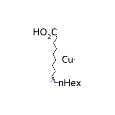 CCCCCC/C=C\CCCCCCCC(=O)O.[Cu]